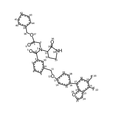 O=C(CN(C(=O)c1cccc(COc2ccc(-c3cc(F)c(F)c4ccoc34)cc2)c1)C1CCNC1=O)OCc1ccccc1